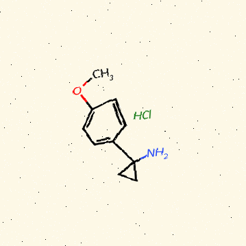 COc1ccc(C2(N)CC2)cc1.Cl